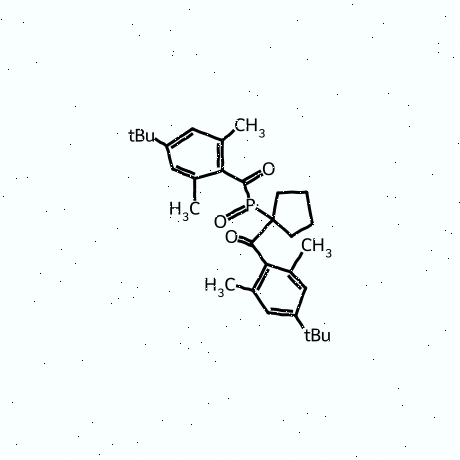 Cc1cc(C(C)(C)C)cc(C)c1C(=O)[P](=O)C1(C(=O)c2c(C)cc(C(C)(C)C)cc2C)CCCC1